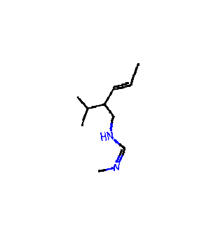 C/C=C/C(CN/C=N\C)C(C)C